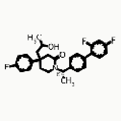 CC(O)CC1(c2ccc(F)cc2)CCN([C@@H](C)c2ccc(-c3ccc(F)cc3F)cc2)C(=O)C1